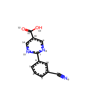 N#Cc1cccc(-c2ncc(C(=O)O)cn2)c1